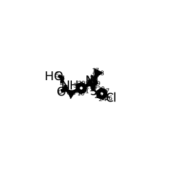 O=C(NCCO)C1CC1c1ccc(-c2nn(C3CC3)cc2Sc2ccc(Cl)cc2)cc1